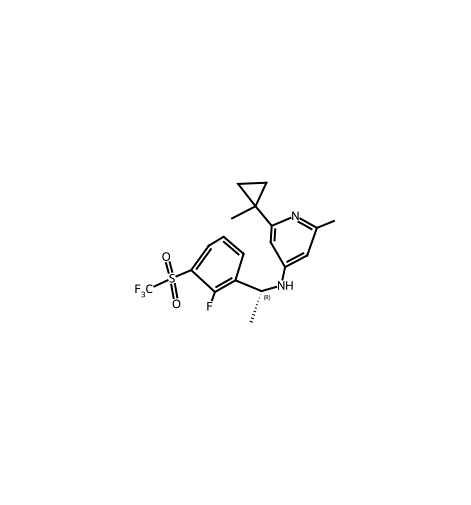 Cc1cc(N[C@H](C)c2cccc(S(=O)(=O)C(F)(F)F)c2F)cc(C2(C)CC2)n1